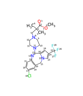 COC(=O)C(C)(C)CN1CCN(C2=Nc3ccc(Cl)cc3Cn3cc(C(F)(F)F)cc32)CC1